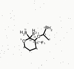 BC(C)O[C@@]1(F)CCCOC1(B)B